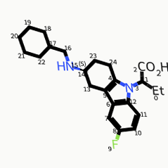 CCC(C(=O)O)n1c2c(c3cc(F)ccc31)C[C@@H](NCC1CCCCC1)CC2